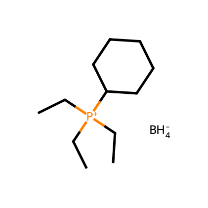 CC[P+](CC)(CC)C1CCCCC1.[BH4-]